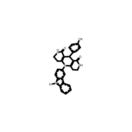 CCn1c2ccccc2c2cc(N3C4=C(C(=O)NCC4)C(c4ccc(C#N)cc4)C4=C3CCNC4=O)ccc21